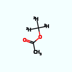 [2H]C([2H])([2H])OC(C)=O